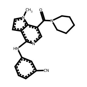 Cn1ccc2c(Nc3cccc(C#N)c3)ncc(C(=O)N3CCCCC3)c21